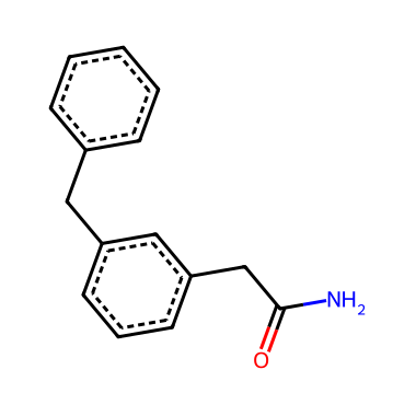 NC(=O)Cc1cccc(Cc2ccccc2)c1